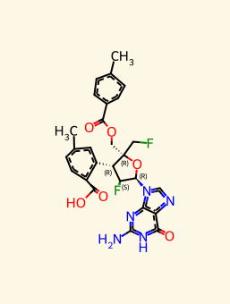 Cc1ccc(C(=O)OC[C@]2(CF)O[C@@H](n3cnc4c(=O)[nH]c(N)nc43)[C@@H](F)[C@@H]2c2cc(C)ccc2C(=O)O)cc1